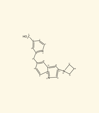 O=C(O)c1ccnc(Cc2ccc3ncc(N4CCC4)cc3c2)c1